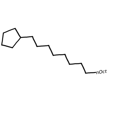 CCCCCCCCCCCCCCCCC1CCCC1